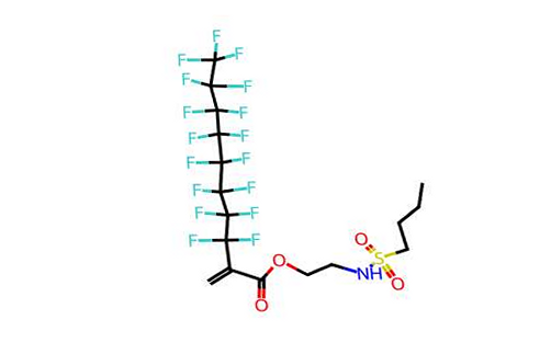 C=C(C(=O)OCCNS(=O)(=O)CCCC)C(F)(F)C(F)(F)C(F)(F)C(F)(F)C(F)(F)C(F)(F)C(F)(F)C(F)(F)F